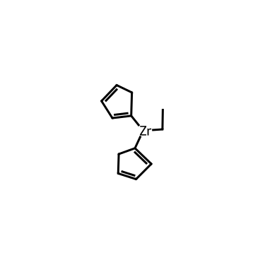 C[CH2][Zr]([C]1=CC=CC1)[C]1=CC=CC1